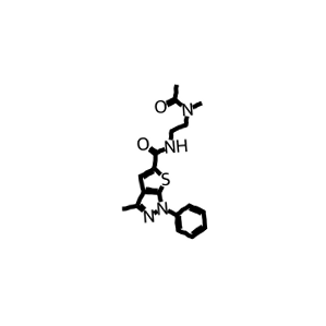 CC(=O)N(C)CCNC(=O)c1cc2c(C)nn(-c3ccccc3)c2s1